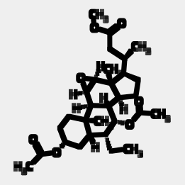 CC[C@H]1[C@@H](OC(C)=O)[C@@H]2[C@H]([C@H]3O[C@H]3[C@]3(C)[C@@H]([C@H](C)CC(=O)OC)CC[C@@H]23)[C@@]2(C)CC[C@@H](OC(C)=O)C[C@@H]12